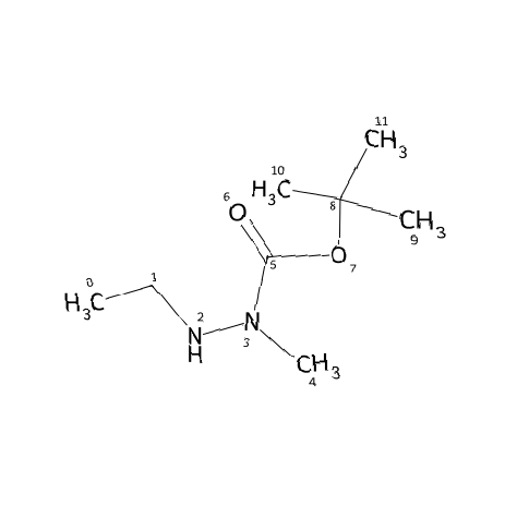 CCNN(C)C(=O)OC(C)(C)C